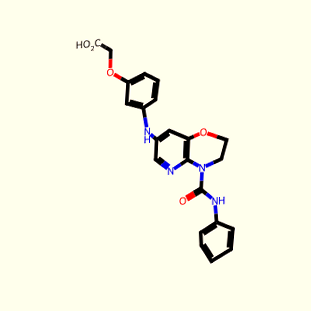 O=C(O)COc1cccc(Nc2cnc3c(c2)OCCN3C(=O)Nc2ccccc2)c1